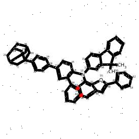 CC1(C)c2ccccc2-c2ccc(N(c3ccc(-c4ccc(C56CC7CC(CC(C7)C5)C6)cc4)cc3-c3ccccc3)c3cccc4cc(-c5ccccc5)oc34)cc21